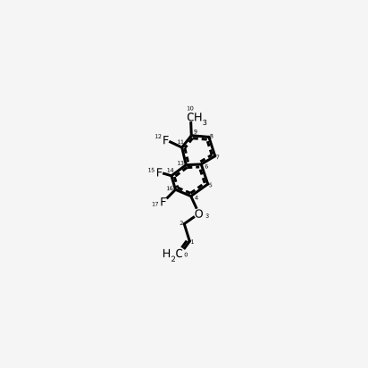 C=CCOc1cc2ccc(C)c(F)c2c(F)c1F